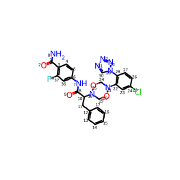 NC(=O)c1ccc(NC(=O)C(Cc2ccccc2)N2CON(c3cc(Cl)ccc3-n3cnnn3)CO2)cc1F